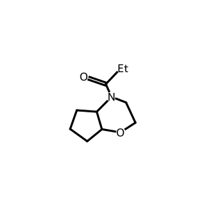 CCC(=O)N1CCOC2CCCC21